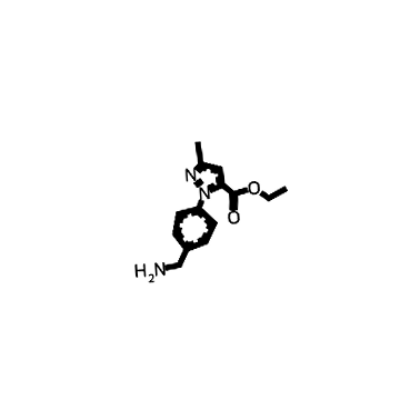 CCOC(=O)c1cc(C)nn1-c1ccc(CN)cc1